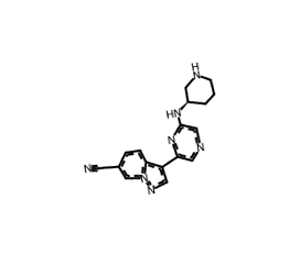 N#Cc1ccc2c(-c3cncc(N[C@@H]4CCCNC4)n3)cnn2c1